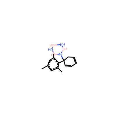 Cc1cc(C)c(C2(N3BNBNB3)C=CC=CC2)c(C)c1